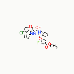 COC(=O)c1ccc(OCCN(Cc2ccccc2)C(O)c2nn(C)c3c2COc2ccc(Cl)cc2-3)c(F)c1